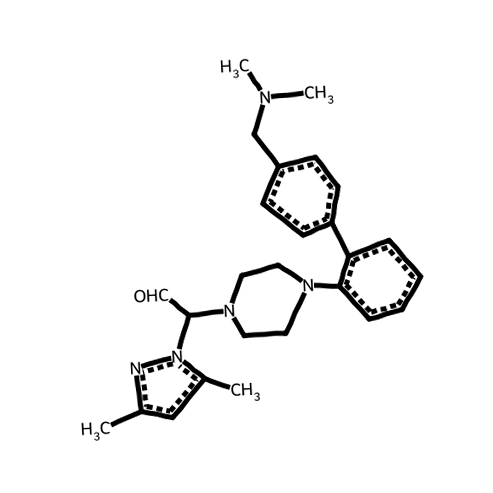 Cc1cc(C)n(C(C=O)N2CCN(c3ccccc3-c3ccc(CN(C)C)cc3)CC2)n1